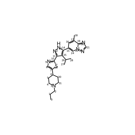 CCCN1CCC(c2cnc(-c3n[nH]c(-c4cc(C)c5ncnn5c4)c3C(C)C)s2)CC1